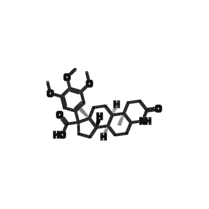 COc1cc(C2(C(=O)O)CC[C@H]3[C@@H]4CCC5NC(=O)CC[C@]5(C)[C@@H]4CC[C@@]32C)cc(OC)c1OC